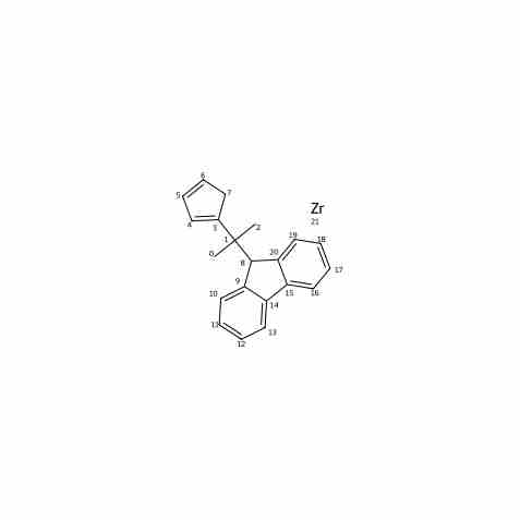 CC(C)(C1=CC=CC1)C1c2ccccc2-c2ccccc21.[Zr]